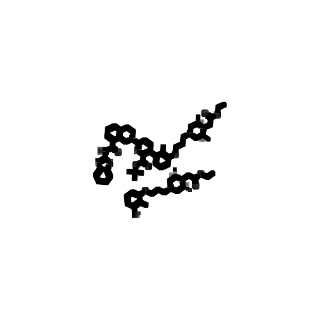 CCOC(=O)CN1[C@H](C)CN(CCCOc2cccc(-c3ccc(N4CCc5cccc(C(=O)Nc6nc7ccccc7s6)c5C4)nc3C(=O)OC(C)(C)C)c2C)C[C@@H]1C.CCOC(=O)CN1[C@H](C)CN(CCCOc2cccc(Br)c2C)C[C@@H]1C